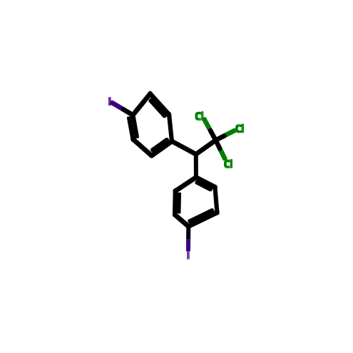 ClC(Cl)(Cl)C(c1ccc(I)cc1)c1ccc(I)cc1